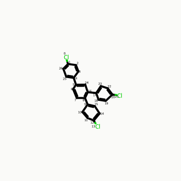 Clc1ccc(-c2ccc(-c3ccc(Cl)cc3)c(-c3ccc(Cl)cc3)c2)cc1